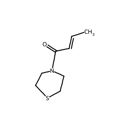 CC=CC(=O)N1CCSCC1